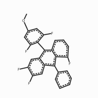 COc1cc(F)c(-c2c3cc(F)c(F)cc3c(-c3ccccc3)c3c(F)cccc23)c(F)c1